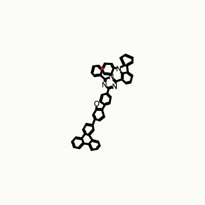 c1ccc(-c2nc(-c3ccc4c(c3)oc3cc(-c5ccc6c7ccccc7c7ccccc7c6c5)ccc34)nc(-c3cccc4c5ccccc5n(-c5ccccc5)c34)n2)cc1